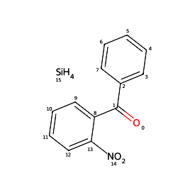 O=C(c1ccccc1)c1ccccc1[N+](=O)[O-].[SiH4]